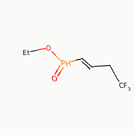 CCO[PH](=O)C=CCC(F)(F)F